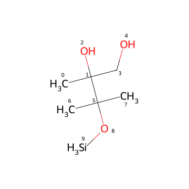 CC(O)(CO)C(C)(C)O[SiH3]